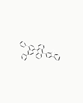 c1ccc(-c2ccc3c(-c4c5ccccc5c(-c5ccc6c(c5)oc5ccccc56)c5ccccc45)ccc(-c4ccccc4)c3c2)cc1